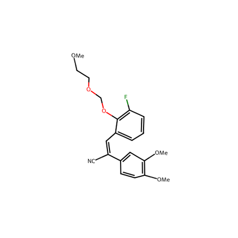 COCCOCOc1c(F)cccc1C=C(C#N)c1ccc(OC)c(OC)c1